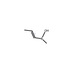 C/C=C/B(C)O